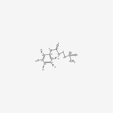 CS(=O)(=O)SCOC(=O)Oc1c(F)c(F)c(F)c(F)c1F